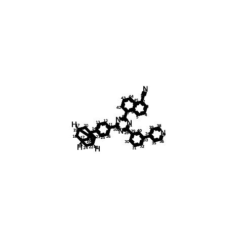 N#Cc1cccc2c(-c3nc(-c4ccc(C56C[C@H]7C[C@H](C5)C[C@@H](C6)C7)cc4)nc(-c4cccc(-c5ccncc5)c4)n3)cccc12